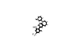 Cc1cc(C(F)(F)F)cc(O)c1-c1cc2c(nn1)N([C@@H]1CCCN(C)C1)CCCC2